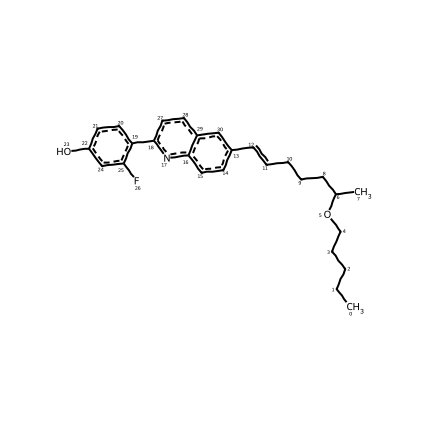 CCCCCOC(C)CCCC=Cc1ccc2nc(-c3ccc(O)cc3F)ccc2c1